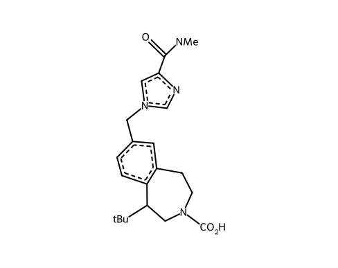 CNC(=O)c1cn(Cc2ccc3c(c2)CCN(C(=O)O)CC3C(C)(C)C)cn1